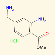 COC(=O)c1ccc(CN)cc1N.Cl